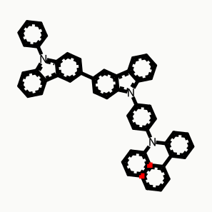 c1ccc(-c2ccccc2N(c2ccccc2)c2ccc(-n3c4ccccc4c4cc(-c5ccc6c(c5)c5ccccc5n6-c5ccccc5)ccc43)cc2)cc1